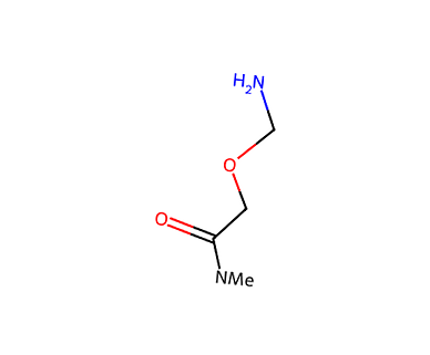 CNC(=O)COCN